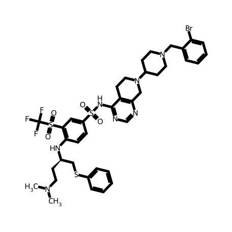 CN(C)CC[C@H](CSc1ccccc1)Nc1ccc(S(=O)(=O)Nc2ncnc3c2CCN(C2CCN(Cc4ccccc4Br)CC2)C3)cc1S(=O)(=O)C(F)(F)F